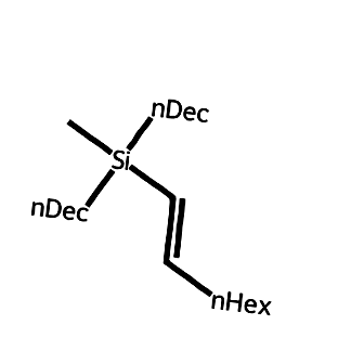 CCCCCCC=C[Si](C)(CCCCCCCCCC)CCCCCCCCCC